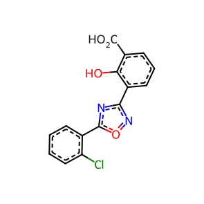 O=C(O)c1cccc(-c2noc(-c3ccccc3Cl)n2)c1O